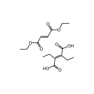 CC/C(C(=O)O)=C(/CC)C(=O)O.CCOC(=O)/C=C/C(=O)OCC